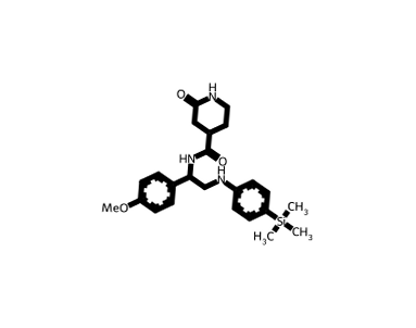 COc1ccc(C(CNc2ccc([Si](C)(C)C)cc2)NC(=O)C2CCNC(=O)C2)cc1